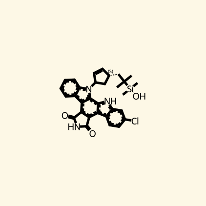 CC(C)(C[C@H]1C=CC(n2c3ccccc3c3c4c(c5c6ccc(Cl)cc6[nH]c5c32)C(=O)NC4=O)C1)[Si](C)(C)O